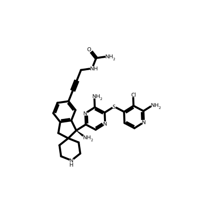 NC(=O)NCC#Cc1ccc2c(c1)[C@](N)(c1cnc(Sc3ccnc(N)c3Cl)c(N)n1)C1(CCNCC1)C2